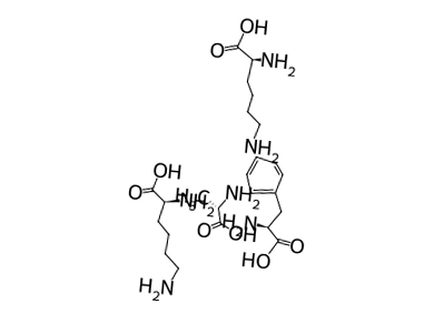 C[C@H](N)C(=O)O.NCCCC[C@H](N)C(=O)O.NCCCC[C@H](N)C(=O)O.N[C@@H](Cc1ccccc1)C(=O)O